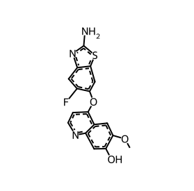 COc1cc2c(Oc3cc4sc(N)nc4cc3F)ccnc2cc1O